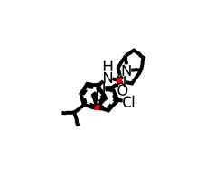 CC(C)c1ccc(NC(=O)N2C3CCC2CN(c2ncccc2Cl)C3)cc1